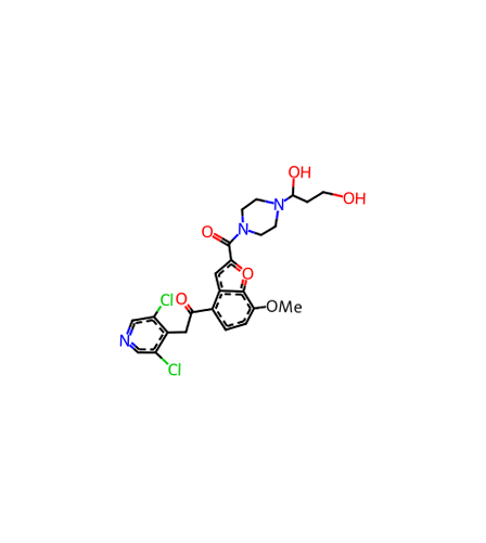 COc1ccc(C(=O)Cc2c(Cl)cncc2Cl)c2cc(C(=O)N3CCN(C(O)CCO)CC3)oc12